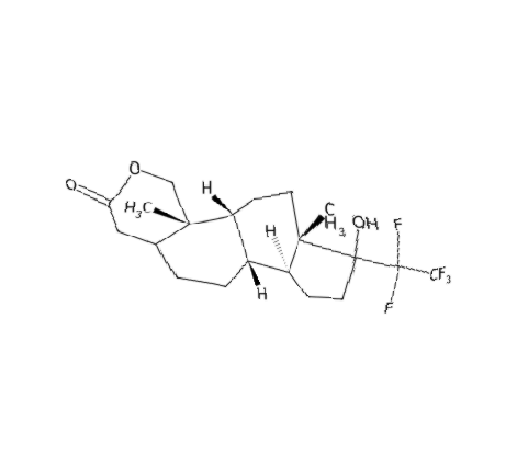 C[C@]12COC(=O)CC1CC[C@@H]1[C@H]2CC[C@@]2(C)[C@H]1CCC2(O)C(F)(F)C(F)(F)F